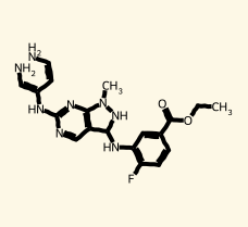 CCOC(=O)c1ccc(F)c(NC2NN(C)c3nc(NC(/C=C\N)=C/N)ncc32)c1